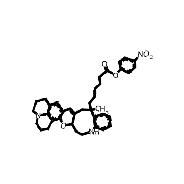 CC1(CCCCCC(=O)Oc2ccc([N+](=O)[O-])cc2)CC2=Cc3cc4c5c(c3OC2CCNc2ccccc21)CCCN5CCC4